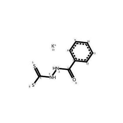 O=C(NNC(=S)[S-])c1ccccc1.[K+]